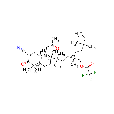 CCC(C)(C)CC[C@@](C)(CCC(C)(C)[C@]1(C)CC[C@H]2C(C)(C)C(=O)C(C#N)=C[C@]2(C)[C@H]1CC(C)=O)COC(=O)C(F)(F)F